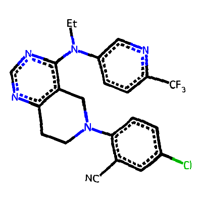 CCN(c1ccc(C(F)(F)F)nc1)c1ncnc2c1CN(c1ccc(Cl)cc1C#N)CC2